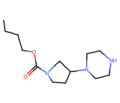 CCCCOC(=O)N1CCC(N2CCNCC2)C1